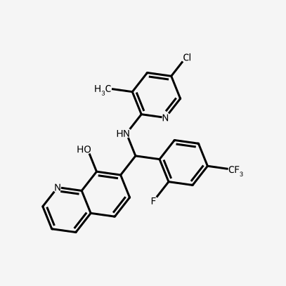 Cc1cc(Cl)cnc1NC(c1ccc(C(F)(F)F)cc1F)c1ccc2cccnc2c1O